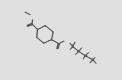 COC(=O)C1CCC(C(=O)OC(F)(F)C(F)(F)C(F)(F)C(F)(F)F)CC1